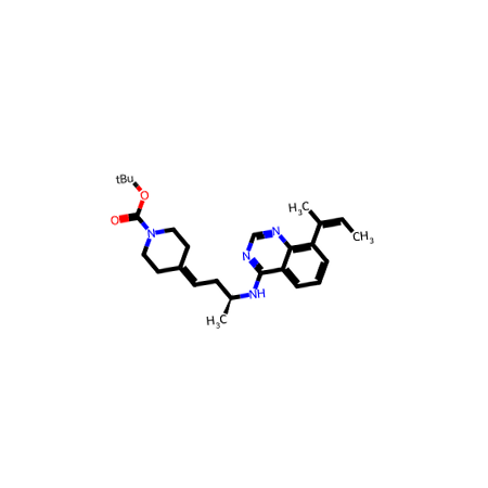 C/C=C(/C)c1cccc2c(N[C@@H](C)CC=C3CCN(C(=O)OC(C)(C)C)CC3)ncnc12